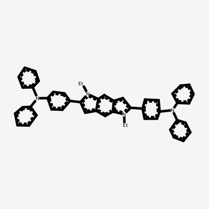 CCn1c(-c2ccc(N(c3ccccc3)c3ccccc3)cc2)cc2cc3c(cc(-c4ccc(N(c5ccccc5)c5ccccc5)cc4)n3CC)cc21